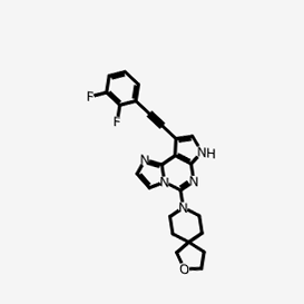 Fc1cccc(C#Cc2c[nH]c3nc(N4CCC5(CCOC5)CC4)n4ccnc4c23)c1F